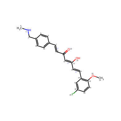 CNCc1ccc(/C=C/C(=O)/C=C(O)/C=C/c2cc(F)ccc2OC)cc1